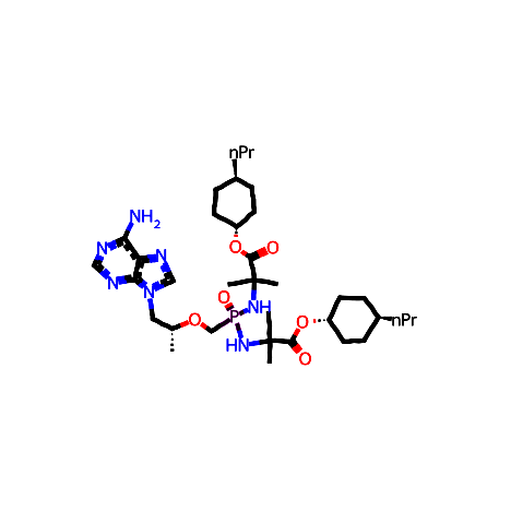 CCC[C@H]1CC[C@H](OC(=O)C(C)(C)NP(=O)(CO[C@H](C)Cn2cnc3c(N)ncnc32)NC(C)(C)C(=O)O[C@H]2CC[C@H](CCC)CC2)CC1